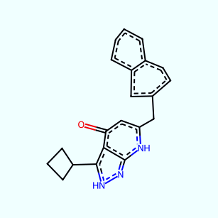 O=c1cc(Cc2ccc3ccccc3c2)[nH]c2n[nH]c(C3CCC3)c12